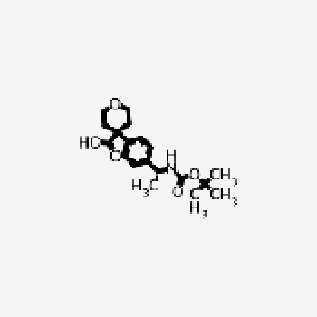 C[C@@H](NC(=O)OC(C)(C)C)c1ccc(C2(C(=O)O)CCOCC2)cc1